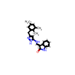 Cc1cc(C)c(C)c(Cc2cc(N/C=C3/C(=O)Nc4ccccc43)[nH]n2)c1